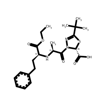 CCOC(=O)[C@H](CCc1ccccc1)N[C@@H](C)C(=O)N1N=C(C(C)(C)C)S[C@@H]1C(=O)O